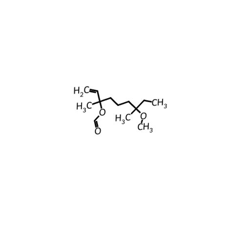 C=CC(C)(CCCC(C)(CC)OC)OC=O